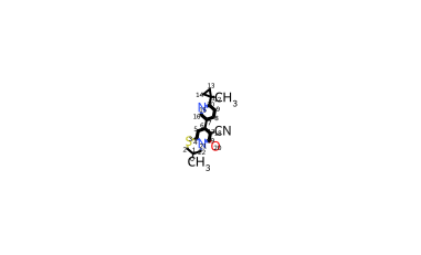 C[C@H]1CSc2cc(-c3ccc(C4(C)CC4)nc3)c(C#N)c(=O)n2C1